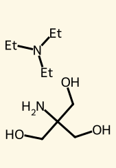 CCN(CC)CC.NC(CO)(CO)CO